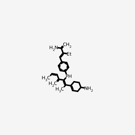 C=C(/C=C\C)/C(Pc1ccc(/C=C(\CC)C(=C)N)cc1)=C(\C)C1=CCC(N)CC1